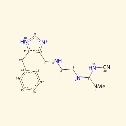 CNC(=NCCNCc1nc[nH]c1Cc1ccccc1)NC#N